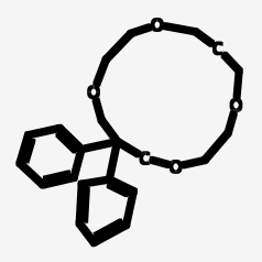 c1ccc(C2(c3ccccc3)COCCOCCCOCCOC2)cc1